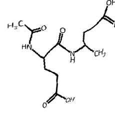 CC(=O)NC(CCC(=O)O)C(=O)NC(C)CC(=O)O